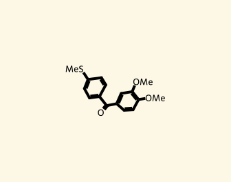 COc1ccc(C(=O)c2ccc(SC)cc2)cc1OC